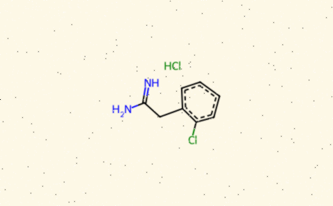 Cl.N=C(N)Cc1ccccc1Cl